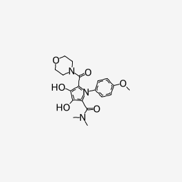 COc1ccc(-n2c(C(=O)N(C)C)c(O)c(O)c2C(=O)N2CCOCC2)cc1